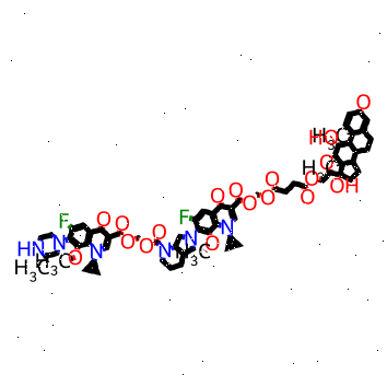 COc1c(N2CCNC(C)C2)c(F)cc2c(=O)c(C(=O)OCOC(=O)N3CCCC4CN(c5c(F)cc6c(=O)c(C(=O)OCOC(=O)CCC(=O)OCC(=O)[C@@]7(O)CCC8C9CCC%10=CC(=O)C=C[C@]%10(C)C9[C@@H](O)C[C@@]87C)cn(C7CC7)c6c5OC)CC43)cn(C3CC3)c12